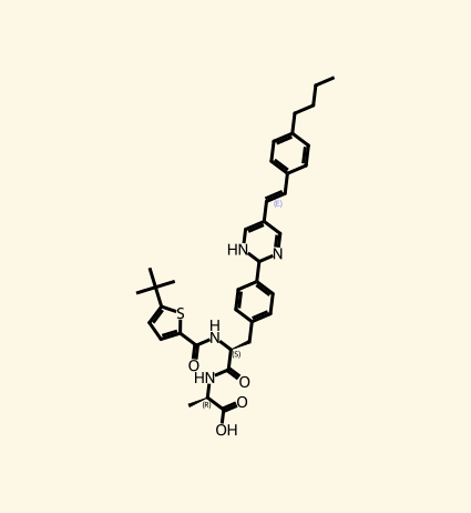 CCCCc1ccc(/C=C/C2=CNC(c3ccc(C[C@H](NC(=O)c4ccc(C(C)(C)C)s4)C(=O)N[C@H](C)C(=O)O)cc3)N=C2)cc1